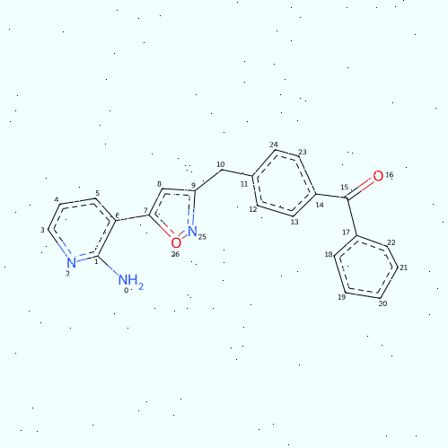 Nc1ncccc1-c1cc(Cc2ccc(C(=O)c3ccccc3)cc2)no1